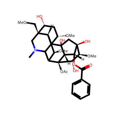 COC[C@]12CN(C)C3C4[C@H](OC)[C@H]1C3([C@@H](OC)C[C@H]2O)[C@]1(O)C[C@@]2(O)[C@H](OC(=O)c3ccccc3)[C@@H]1[C@]4(OC(C)=O)[C@@H](O)[C@@H]2OC